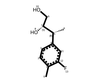 Cc1ccc([C@@H](C)[C@H](O)CO)cc1F